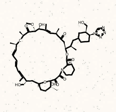 CO[C@H]1C(=O)[C@H](C)C[C@H](C)/C=C/C=C/C=C(\C)[C@@H](CO)C[C@@H]2CC[C@@H](C)[C@@](O)(O2)C(=O)C(=O)N2CCCC[C@H]2C(=O)O[C@H]([C@H](C)CC2CC[C@H](n3cnnn3)[C@H](CO)C2)CC(=O)[C@H](C)/C=C(\C)[C@H]1O